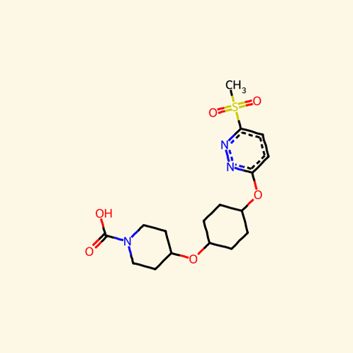 CS(=O)(=O)c1ccc(OC2CCC(OC3CCN(C(=O)O)CC3)CC2)nn1